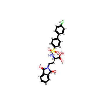 O=C(O)[C@@H](CCN1C(=O)c2ccccc2C1=O)NS(=O)(=O)c1ccc(-c2ccc(Cl)cc2)cc1